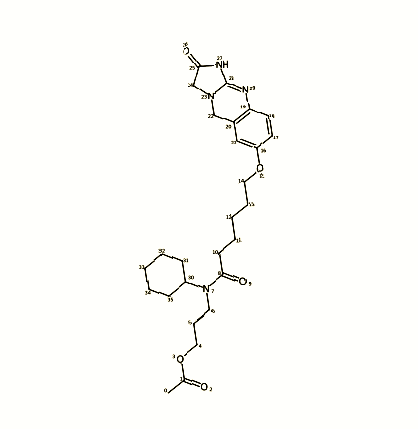 CC(=O)OCCCN(C(=O)CCCCCOc1ccc2c(c1)CN1CC(=O)NC1=N2)C1CCCCC1